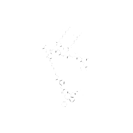 CC(C)(C)C(=O)CN1C(=O)[C@@H](NC(=O)Nc2cccc(C(=O)NCCCCCCCC(=O)N[C@H](CCC(=O)O)C(=O)N[C@H](CCC(=O)NC[C@H](O)[C@@H](O)[C@H](O)[C@H](O)CO)C(=O)N[C@H](CCC(=O)O)C(=O)N[C@H](CCC(=O)NC[C@H](O)[C@@H](O)[C@H](O)[C@H](O)CO)C(=O)NC[C@H](N)C(=O)N[C@@H](CC(=O)O)C(=O)N[C@@H](CS)C(=O)O)c2)CN(C2CCCCC2)c2ccccc21